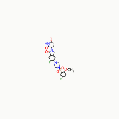 COc1ccc(F)cc1S(=O)(=O)N1CCN(c2cc3c(cc2F)C(=O)N(C2CCC(=O)NC2=O)C3)CC1